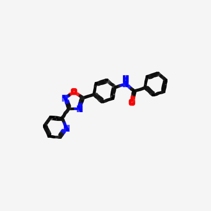 O=C(Nc1ccc(-c2nc(-c3ccccn3)no2)cc1)c1ccccc1